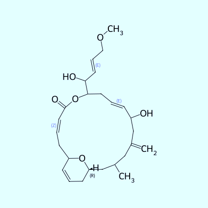 C=C1CC(O)/C=C/CC(C(O)/C=C/COC)OC(=O)/C=C\CC2C=CC[C@@H](CC(C)C1)O2